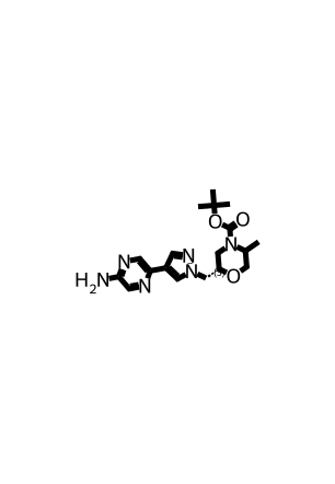 CC1CO[C@H](Cn2cc(-c3cnc(N)cn3)cn2)CN1C(=O)OC(C)(C)C